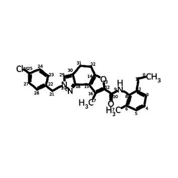 CCc1cccc(C)c1NC(=O)c1oc2c(c1C)-c1nn(Cc3ccc(Cl)cc3)cc1CC2